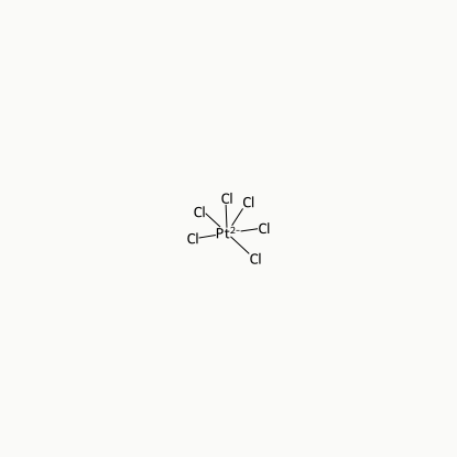 [Cl][Pt-2]([Cl])([Cl])([Cl])([Cl])[Cl]